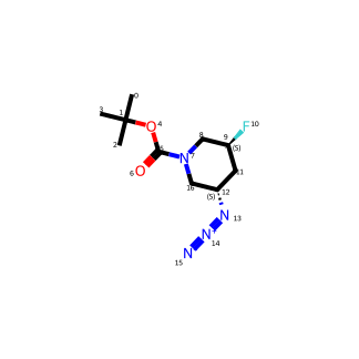 CC(C)(C)OC(=O)N1C[C@@H](F)C[C@H](N=[N+]=[N-])C1